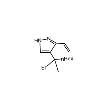 C=Cc1n[nH]cc1C(C)(CC)CCCCCC